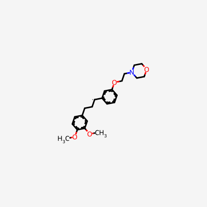 COc1ccc(CC[CH]c2cccc(OCCN3CCOCC3)c2)cc1OC